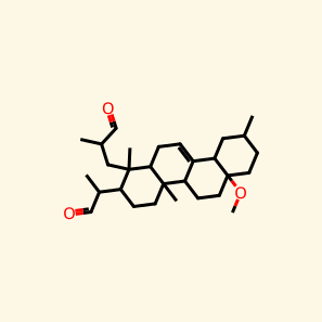 COC12CCC(C)CC1C1=CCC3C(C)(CCC(C(C)C=O)C3(C)CC(C)C=O)C1CC2